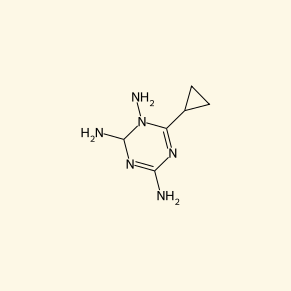 NC1=NC(N)N(N)C(C2CC2)=N1